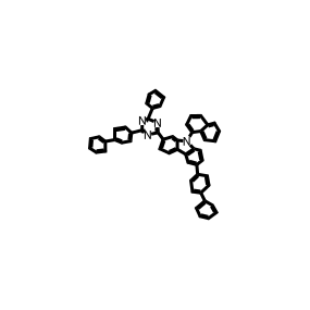 c1ccc(-c2ccc(-c3ccc4c(c3)c3ccc(-c5nc(-c6ccccc6)nc(-c6ccc(-c7ccccc7)cc6)n5)cc3n4-c3cccc4ccccc34)cc2)cc1